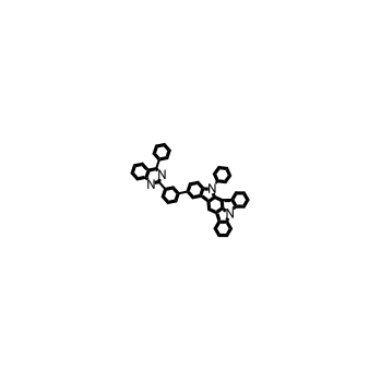 c1ccc(-c2nc(-c3cccc(-c4ccc5c(c4)c4cc6c7ccccc7n7c8ccccc8c(c4n5-c4ccccc4)c67)c3)nc3ccccc23)cc1